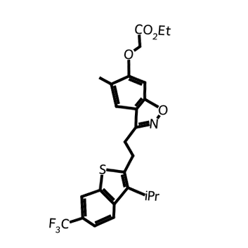 CCOC(=O)COc1cc2onc(CCc3sc4cc(C(F)(F)F)ccc4c3C(C)C)c2cc1C